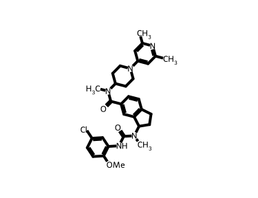 COc1ccc(Cl)cc1NC(=O)N(C)C1CCc2ccc(C(=O)N(C)C3CCN(c4cc(C)nc(C)c4)CC3)cc21